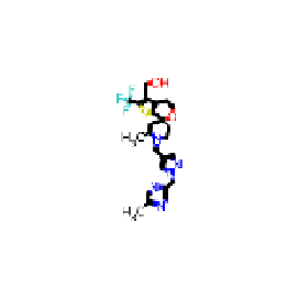 Cc1cnc(Cn2cc(CN3CC[C@]4(C[C@@H]3C)OCCc3c4sc(C(F)(F)F)c3CO)cn2)cn1